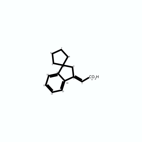 O=C(O)/C=C1\CC2(CCCC2)c2ccccc21